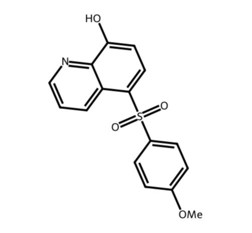 COc1ccc(S(=O)(=O)c2ccc(O)c3ncccc23)cc1